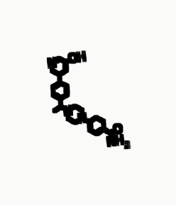 CC(c1ccc(C2C=C(O)C=NC2)cc1)N1CCN(C2=CC=C(C(N)=O)CC2)CC1